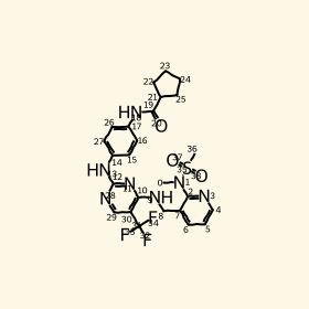 CN(c1ncccc1CNc1nc(Nc2ccc(NC(=O)C3CCCC3)cc2)ncc1C(F)(F)F)S(C)(=O)=O